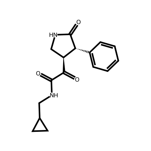 O=C(NCC1CC1)C(=O)[C@H]1CNC(=O)[C@@H]1c1ccccc1